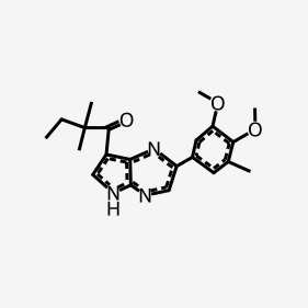 CCC(C)(C)C(=O)c1c[nH]c2ncc(-c3cc(C)c(OC)c(OC)c3)nc12